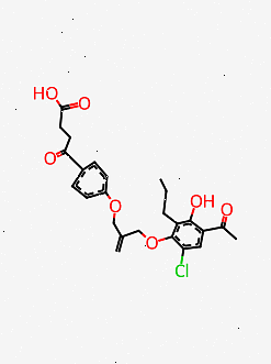 C=C(COc1ccc(C(=O)CCC(=O)O)cc1)COc1c(Cl)cc(C(C)=O)c(O)c1CCC